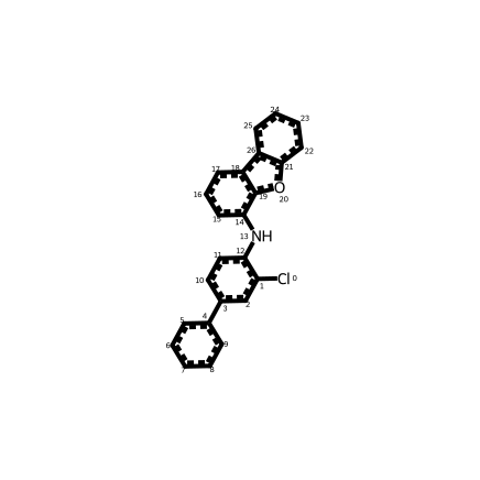 Clc1cc(-c2ccccc2)ccc1Nc1cccc2c1oc1ccccc12